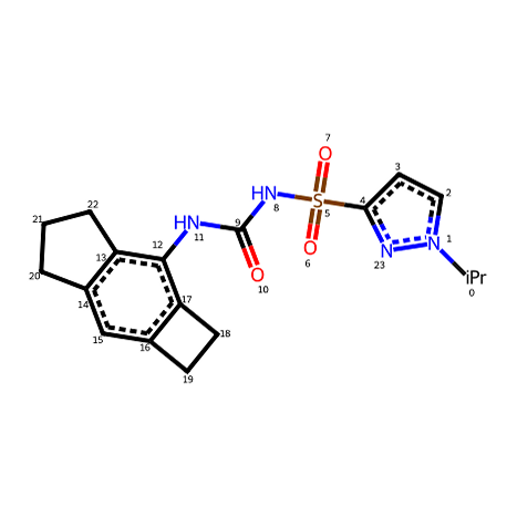 CC(C)n1ccc(S(=O)(=O)NC(=O)Nc2c3c(cc4c2CC4)CCC3)n1